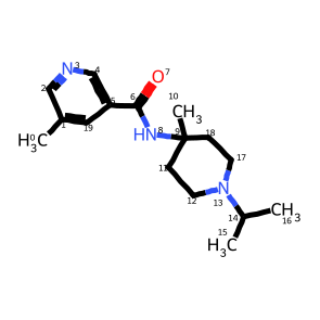 Cc1cncc(C(=O)NC2(C)CCN(C(C)C)CC2)c1